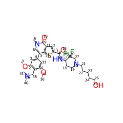 COc1cc(-c2cn(C)c(=O)c3cc(C(=O)NC4CCN(CCCCCO)CC4(F)F)sc23)cc(OC)c1CN(C)C